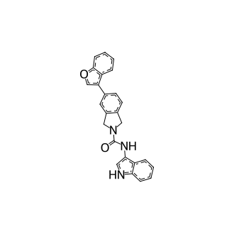 O=C(Nc1c[nH]c2ccccc12)N1Cc2ccc(-c3coc4ccccc34)cc2C1